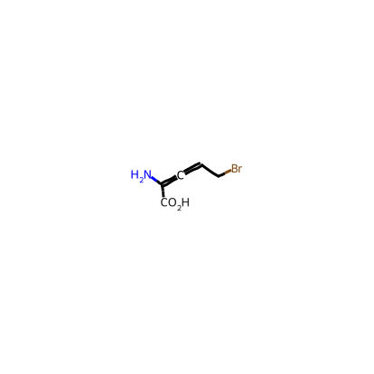 NC(=C=CCBr)C(=O)O